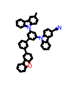 Cc1ccc2c(c1)c1ccccc1n2-c1cc(-c2cccc(-c3ccc4oc5ccccc5c4c3)c2)cc(-n2c3ccccc3c3cc(C#N)ccc32)c1